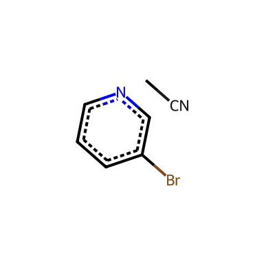 Brc1cccnc1.CC#N